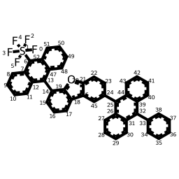 FS(F)(F)(F)(F)c1c2ccccc2c(-c2cccc3c2oc2ccc(-c4c5ccccc5c(-c5ccccc5)c5ccccc45)cc23)c2ccccc12